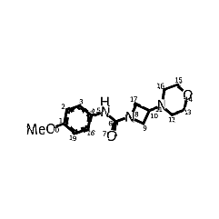 COc1ccc(NC(=O)N2CC(N3CCOCC3)C2)cc1